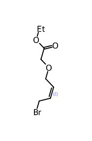 CCOC(=O)COC/C=C\CBr